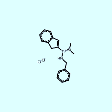 C[Si](C)=[Ti+2]([NH]Cc1ccccc1)[C]1=Cc2ccccc2C1.[Cl-].[Cl-]